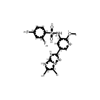 COc1ncc(-c2nn3c(C)c(I)nc3s2)cc1NS(=O)(=O)c1ccc(F)cc1F